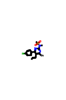 CC=Cc1c(-c2ccc(F)cc2)nc(N(C)S(C)(=O)=O)nc1C(C)C